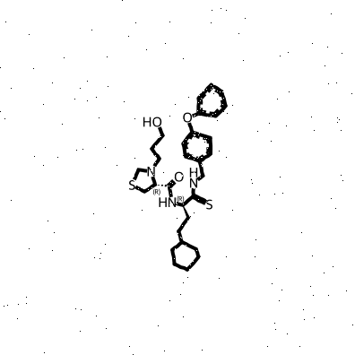 O=C(N[C@H](CCC1CCCCC1)C(=S)NCc1ccc(Oc2ccccc2)cc1)[C@@H]1CSCN1CCCO